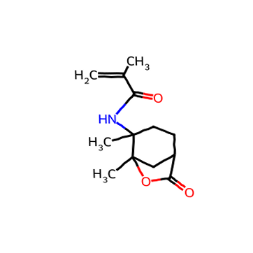 C=C(C)C(=O)NC1(C)CCC2CC1(C)OC2=O